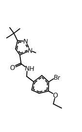 CCOc1ccc(CNC(=O)c2cc(C(C)(C)C)nn2C)cc1Br